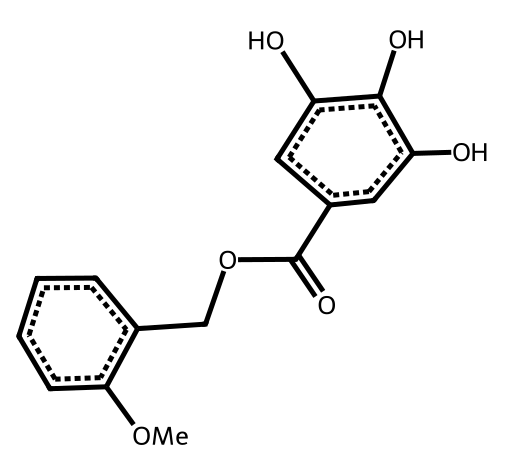 COc1ccccc1COC(=O)c1cc(O)c(O)c(O)c1